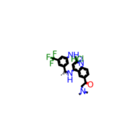 Cc1cc(N[C@H](C)c2cc(N)cc(C(F)(F)F)c2)c2cc(C(=O)CN(C)C)ccc2n1.Cl